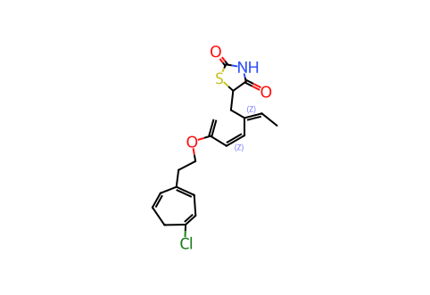 C=C(/C=C\C(=C/C)CC1SC(=O)NC1=O)OCCC1=CC=C(Cl)CC=C1